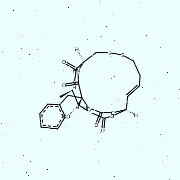 C[C@H]1NC(=O)[C@H]2CSSCC/C=C/[C@H](CC(=O)N[C@H](Cc3ccccc3)C(=O)N2)OC(=O)C[C@@H]1O